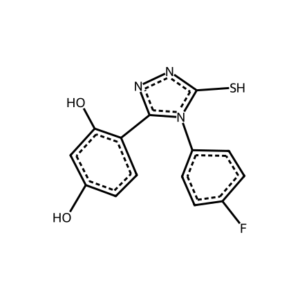 Oc1ccc(-c2nnc(S)n2-c2ccc(F)cc2)c(O)c1